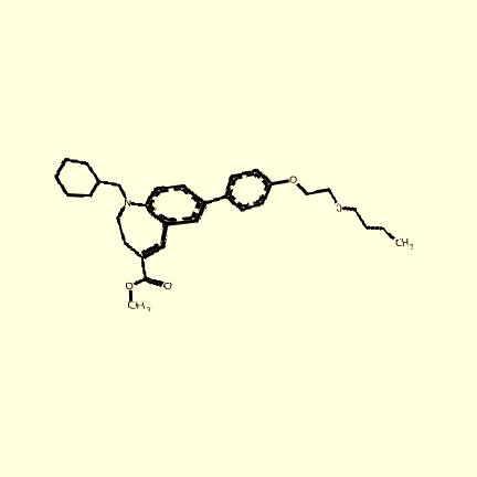 CCCCOCCOc1ccc(-c2ccc3c(c2)C=C(C(=O)OC)CCN3CC2CCCCC2)cc1